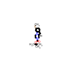 CSc1ccc2c(c1)N1CCN(C(=O)OC(C)(C)C)C[C@@H]1C2